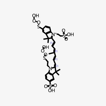 CC(/C=C/C=C1\N(CCSOOO)c2ccc(S(=O)(=O)O)cc2C1(C)C)=C\C=C\C1=[N+](CCS(=O)(=O)O)c2ccc(SOOO)cc2C1(C)C